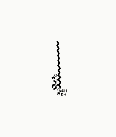 CCCCCCCCCCCCCCCCC(CC(COP(=O)(O)O)[N+](CC)(CC)CC)OC(C)=O